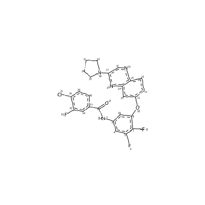 O=C(Nc1cc(F)c(F)c(Oc2ccc3ncc(N4CCCC4)nc3c2)c1)c1ccc(Cl)c(F)c1